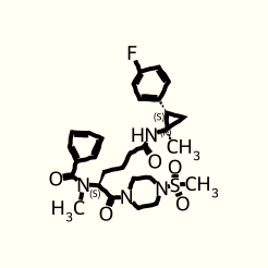 CN(C(=O)c1ccccc1)[C@@H](CCCC(=O)N[C@]1(C)C[C@H]1c1ccc(F)cc1)C(=O)N1CCN(S(C)(=O)=O)CC1